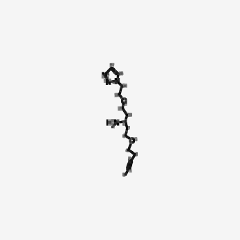 CC#CCCOCCC(N)CCOCCn1ccnn1